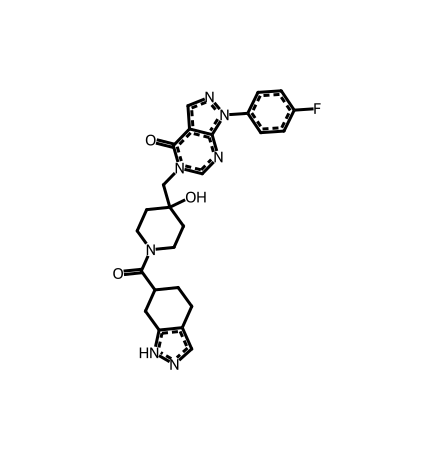 O=C(C1CCc2cn[nH]c2C1)N1CCC(O)(Cn2cnc3c(cnn3-c3ccc(F)cc3)c2=O)CC1